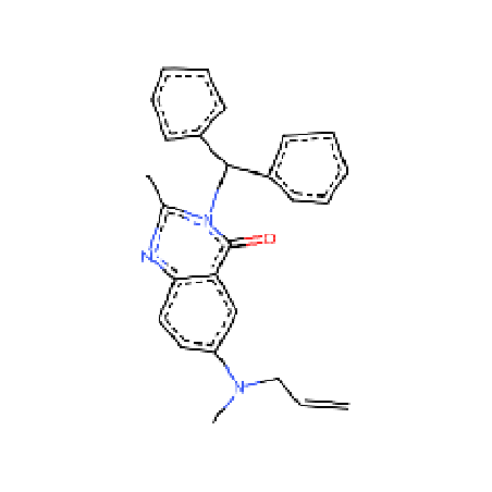 C=CCN(C)c1ccc2nc(C)n(C(c3ccccc3)c3ccccc3)c(=O)c2c1